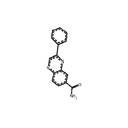 NC(=O)c1ccc2ncc(-c3ccccc3)nc2c1